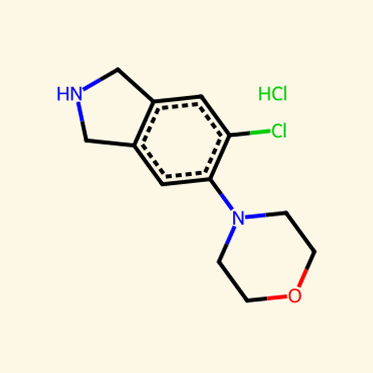 Cl.Clc1cc2c(cc1N1CCOCC1)CNC2